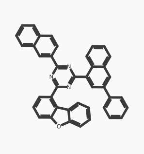 c1ccc(-c2cc(-c3nc(-c4ccc5ccccc5c4)nc(-c4cccc5oc6ccccc6c45)n3)c3ccccc3c2)cc1